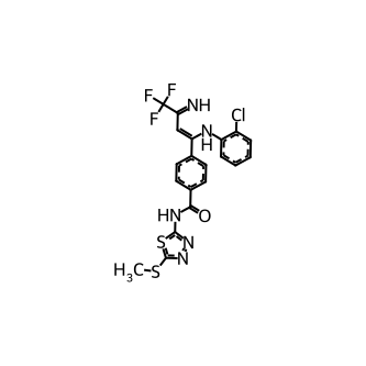 CSc1nnc(NC(=O)c2ccc(/C(=C/C(=N)C(F)(F)F)Nc3ccccc3Cl)cc2)s1